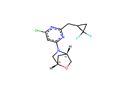 FC1(F)CC1Cc1nc(Cl)cc(N2C[C@@H]3C[C@H]2CO3)n1